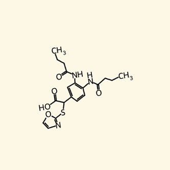 CCCC(=O)Nc1ccc(C(Sc2ncco2)C(=O)O)cc1NC(=O)CCC